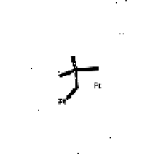 CC(C)(C)[CH2][Pt].[Pt]